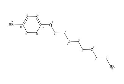 CC(C)(C)CCOCCOCCOc1ccc(C(C)(C)C)cc1